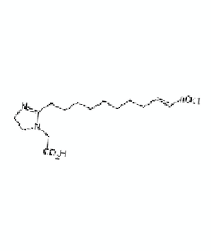 CCCCCCCCC=CCCCCCCCCC1=NCCN1CC(=O)O